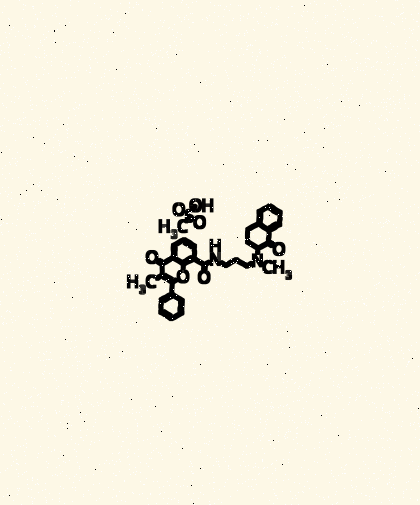 CS(=O)(=O)O.Cc1c(-c2ccccc2)oc2c(C(=O)NCCCN(C)C3CCc4ccccc4C3=O)cccc2c1=O